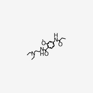 CCC(=O)Nc1ccc(C(=O)NCCN(CC)CC)c(OC)c1